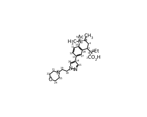 CCN(C(=O)O)C1C[C@H](C)[N@+](C)(C(C)=O)c2ccc(-c3cnn(CCN4CCOCC4)c3)cc21